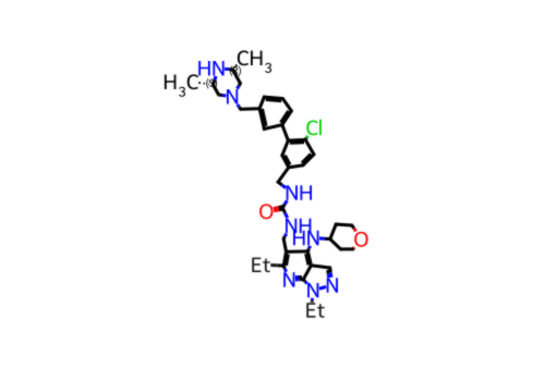 CCc1nc2c(cnn2CC)c(NC2CCOCC2)c1CNC(=O)NCc1ccc(Cl)c(-c2cccc(CN3C[C@@H](C)N[C@@H](C)C3)c2)c1